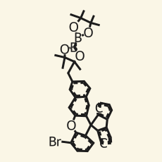 CC1(C)OB(B2OC(C)(C)C(C)(Cc3ccc4cc5c(cc4c3)Oc3c(Br)cccc3C53c4ccccc4-c4ccccc43)O2)OC1(C)C